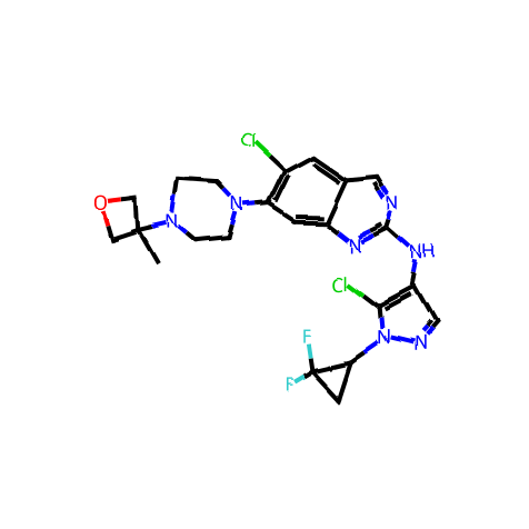 CC1(N2CCN(c3cc4nc(Nc5cnn(C6CC6(F)F)c5Cl)ncc4cc3Cl)CC2)COC1